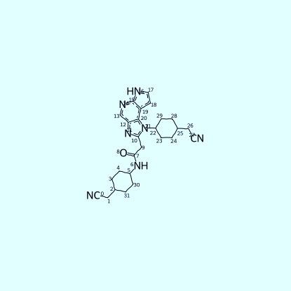 N#CCC1CCC(NC(=O)Cc2nc3cnc4[nH]ccc4c3n2C2CCC(CC#N)CC2)CC1